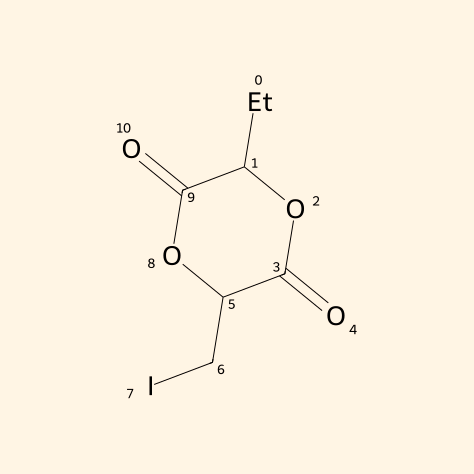 CCC1OC(=O)C(CI)OC1=O